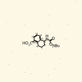 CC(C)(C)OC(=O)NC1CCCc2c(C(=O)O)cccc21